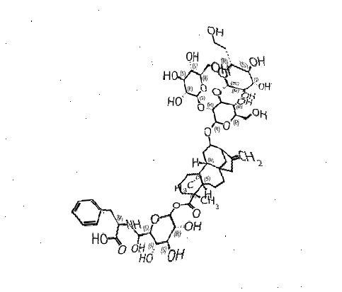 C=C1CC23CC[C@H]4[C@@](C)(CCC[C@@]4(C)C(=O)OC4O[C@H](C(O)N[C@H](Cc5ccccc5)C(=O)O)[C@@H](O)[C@H](O)[C@H]4O)[C@@H]2CC(O[C@@H]2O[C@H](CO)[C@@H](O)C(O[C@@H]4O[C@H](CCO)[C@@H](O)[C@H](O)[C@H]4O)[C@H]2O[C@@H]2O[C@H](CO)[C@@H](O)[C@H](O)[C@H]2O)C1C3